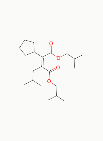 CC(C)COC(=O)/C(CC(C)C)=C(\C(=O)OCC(C)C)C1CCCC1